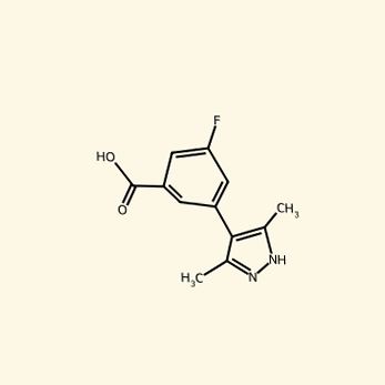 Cc1n[nH]c(C)c1-c1cc(F)cc(C(=O)O)c1